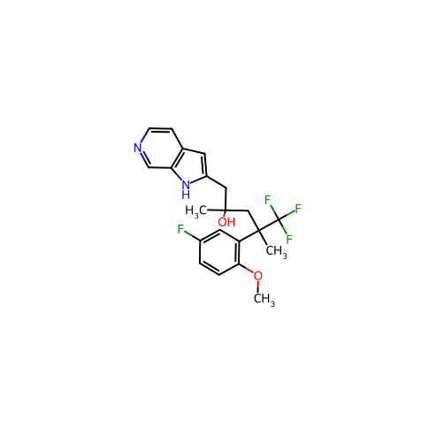 COc1ccc(F)cc1C(C)(CC(C)(O)Cc1cc2ccncc2[nH]1)C(F)(F)F